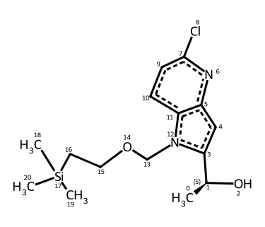 C[C@H](O)c1cc2nc(Cl)ccc2n1COCC[Si](C)(C)C